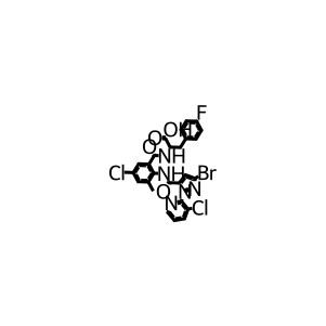 Cc1cc(Cl)cc(C(=O)NC(Cc2ccc(F)cc2)C(=O)O)c1NC(=O)c1cc(Br)nn1-c1ncccc1Cl